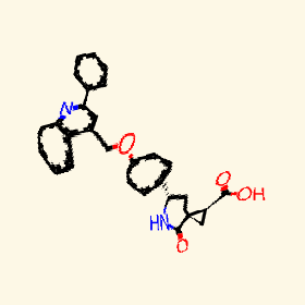 O=C(O)[C@H]1C[C@@]12C[C@@H](c1ccc(OCc3cc(-c4ccccc4)nc4ccccc34)cc1)NC2=O